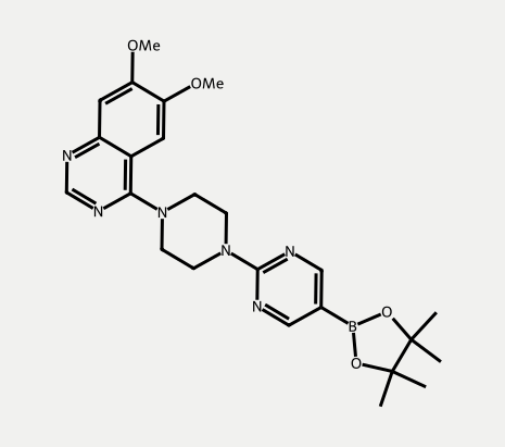 COc1cc2ncnc(N3CCN(c4ncc(B5OC(C)(C)C(C)(C)O5)cn4)CC3)c2cc1OC